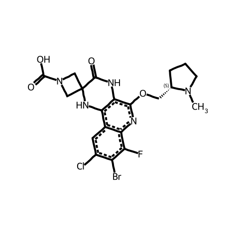 CN1CCC[C@H]1COc1nc2c(F)c(Br)c(Cl)cc2c2c1NC(=O)C1(CN(C(=O)O)C1)N2